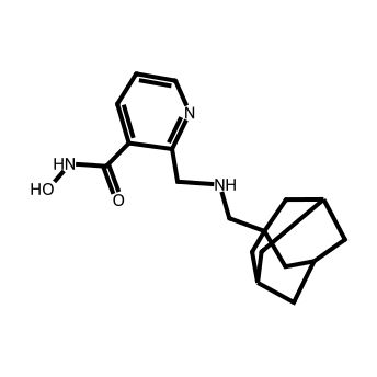 O=C(NO)c1cccnc1CNCC12CC3CC(CC(C3)C1)C2